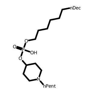 CCCCCCCCCCCCCCCCOP(=O)(O)OC1CCN(CCCCC)CC1